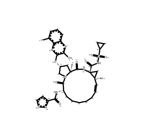 Cc1nc2cccc(F)c2nc1O[C@@H]1C[C@H]2C(=O)N[C@]3(C(=O)NS(=O)(=O)C4CC4)C[C@H]3/C=C\CCCCC[C@H](NC(=O)c3ccon3)C(=O)N2C1